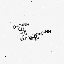 C.C.C.C.C.CCCCCC.N=C=O.N=C=O